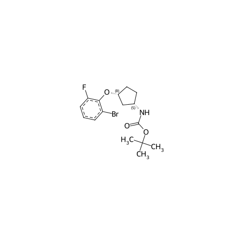 CC(C)(C)OC(=O)N[C@H]1CC[C@@H](Oc2c(F)cccc2Br)C1